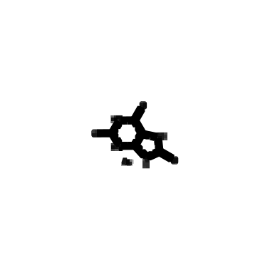 O=c1[nH]c(=O)c2[nH]c(=O)[nH]c2[nH]1.[Au]